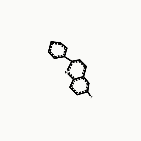 Fc1ccc2nc(-c3ccccc3)ccc2c1